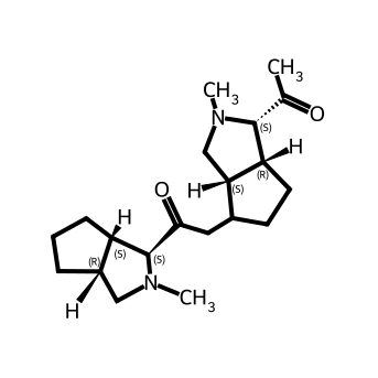 CC(=O)[C@@H]1[C@@H]2CCC(CC(=O)[C@@H]3[C@H]4CCC[C@H]4CN3C)[C@@H]2CN1C